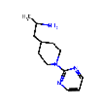 CC(N)CC1CCN(c2ncccn2)CC1